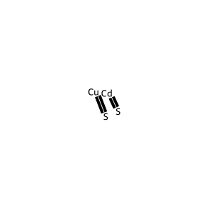 [S]=[Cd].[S]=[Cu]